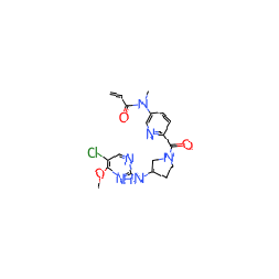 C=CC(=O)N(C)c1ccc(C(=O)N2CCC(Nc3ncc(Cl)c(OC)n3)C2)nc1